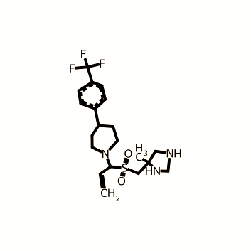 C=CC(N1CCC(c2ccc(C(F)(F)F)cc2)CC1)S(=O)(=O)CC1(C)CNCN1